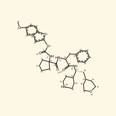 COc1ccc2oc(OC(=O)NC3(C(=O)NC(Cc4ccccc4)C(=O)N[C@H](CC4CCOCC4)C4CCNCC4)CCCC3)cc2c1